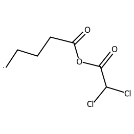 [CH2]CCCC(=O)OC(=O)C(Cl)Cl